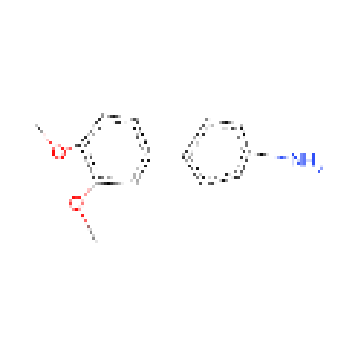 COc1ccc(-c2ccc(N)cc2)cc1OC